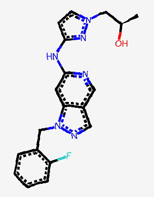 C[C@@H](O)Cn1ccc(Nc2cc3c(cn2)cnn3Cc2ccccc2F)n1